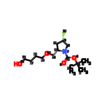 CC(C)(C)OC(=O)N1C[C@@H](F)C[C@H]1COCCCCO